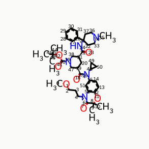 COCCCN1C(=O)C(C)(C)Oc2ccc(N(C(=O)[C@@H]3C[C@H](C(=O)NC4(c5ccccc5)CCN(C)CC4)CN(C(=O)OC(C)(C)C)C3)C3CC3)cc21